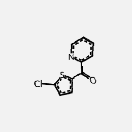 O=C(c1ccccn1)c1ccc(Cl)s1